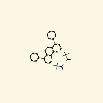 O=[C]([Pd][C](=O)C(F)(F)F)C(F)(F)F.c1ccc(-c2ccnc3c2ccc2c(-c4ccccc4)ccnc23)cc1